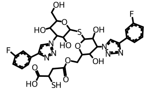 O=C(CC(S)C(=O)O)OCC1OC(SC2OC(CO)C(O)C(n3cc(-c4cccc(F)c4)nn3)C2O)C(O)C(n2cc(-c3cccc(F)c3)nn2)C1O